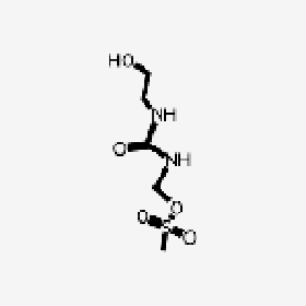 CS(=O)(=O)OCNC(=O)NCCO